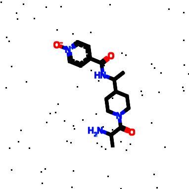 CC(N)C(=O)N1CCC(C(C)NC(=O)c2cc[n+]([O-])cc2)CC1